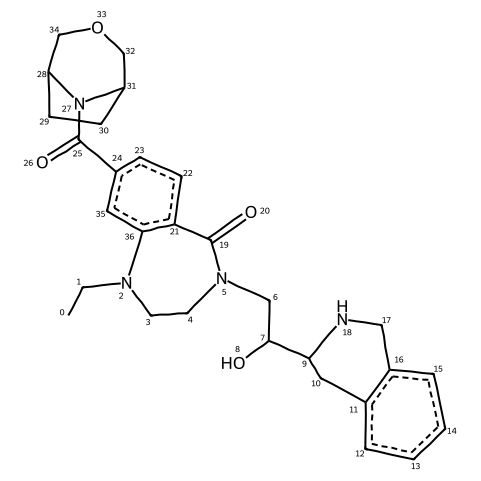 CCN1CCN(CC(O)C2Cc3ccccc3CN2)C(=O)c2ccc(C(=O)N3C4CCC3COC4)cc21